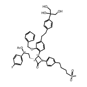 CC(=O)O[C@@H](CC[C@H]1C(=O)N(c2ccc(CCCCS(C)(=O)=O)cc2)[C@@H]1c1ccc(CCc2ccc(C(O)(CO)CO)cc2)cc1OCc1ccccc1)c1ccc(F)cc1